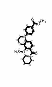 COC(=O)c1ccc(N2CCOc3c2ccc(C(=O)N2CCCCC2)c3OC)cc1